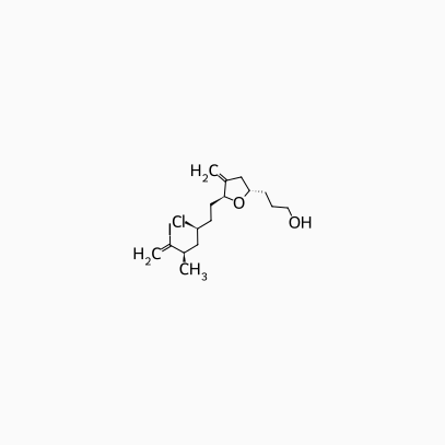 C=C(I)[C@H](C)C[C@@H](Cl)CC[C@@H]1O[C@@H](CCCO)CC1=C